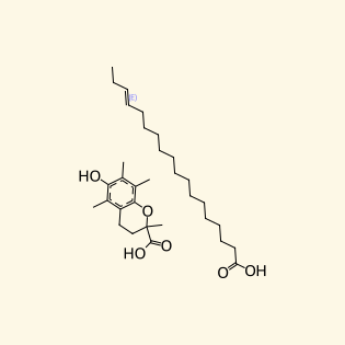 CC/C=C/CCCCCCCCCCCCCC(=O)O.Cc1c(C)c2c(c(C)c1O)CCC(C)(C(=O)O)O2